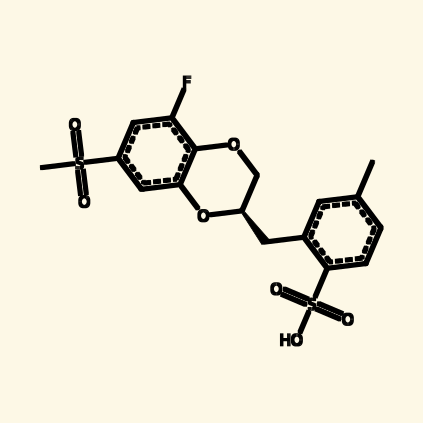 Cc1ccc(S(=O)(=O)O)c(C[C@@H]2COc3c(F)cc(S(C)(=O)=O)cc3O2)c1